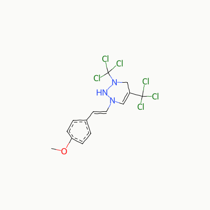 COc1ccc(C=CN2C=C(C(Cl)(Cl)Cl)CN(C(Cl)(Cl)Cl)N2)cc1